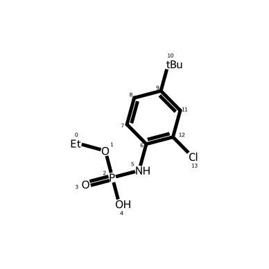 CCOP(=O)(O)Nc1ccc(C(C)(C)C)cc1Cl